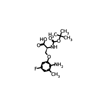 Cc1cc(F)cc(OC[C@H](NC(=O)OC(C)(C)C)C(=O)O)c1N